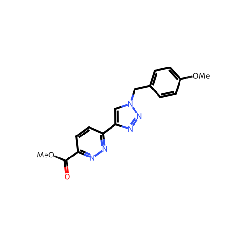 COC(=O)c1ccc(-c2cn(Cc3ccc(OC)cc3)nn2)nn1